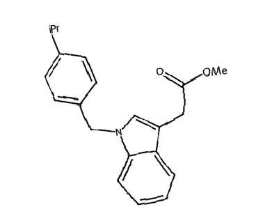 COC(=O)Cc1cn(Cc2ccc(C(C)C)cc2)c2ccccc12